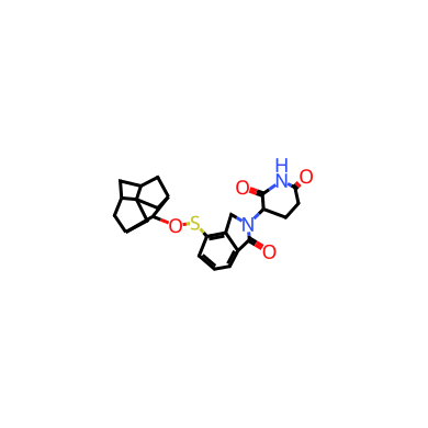 O=C1CCC(N2Cc3c(SOC4C5CC6CC7CC4CC67C5)cccc3C2=O)C(=O)N1